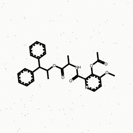 COc1ccnc(C(=O)NC(C)C(=O)OC(C)C(c2ccccc2)c2ccccc2)c1OC(C)=O